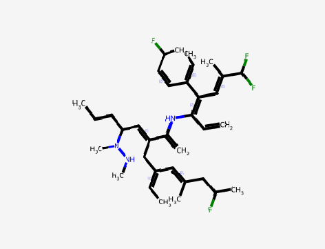 C=C/C(NC(=C)/C(=C/C(CCC)N(C)NC)CC(=C/C)/C=C(\C)CC(C)F)=C(\C=C(/C)C(F)F)C(/C=C\C(C)F)=C/C